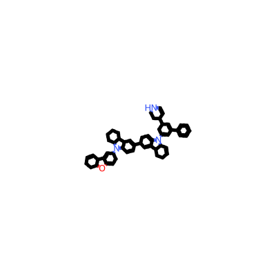 C1=CC2C3=CC(N4C5C=CC(C6C=C7C(=CC6)N(C6=CC(c8ccccc8)=CC(C8C=CNCC8)C6)C6C=CCCC76)=CC5C5CCCCC54)CC=C3OC2CC1